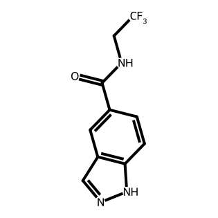 O=C(NCC(F)(F)F)c1ccc2[nH]ncc2c1